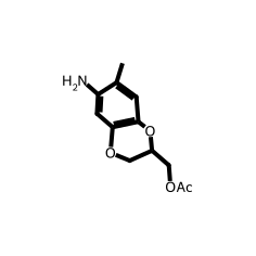 CC(=O)OCC1COc2cc(N)c(C)cc2O1